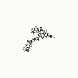 CS(=O)(=O)c1ccc(S(=O)(=O)NCCNCCN2CC3=C(C2=O)C(c2ccc(N)cc2)NC(=O)N3c2cccc(C(F)(F)F)c2)cc1